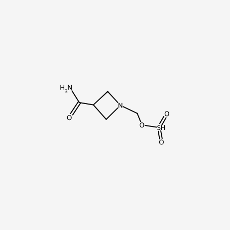 NC(=O)C1CN(CO[SH](=O)=O)C1